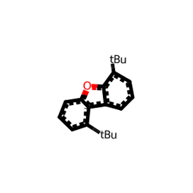 CC(C)(C)c1cccc2c1oc1cccc(C(C)(C)C)c12